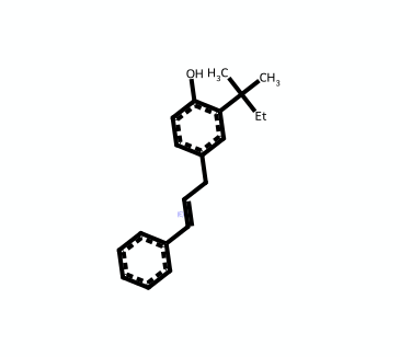 CCC(C)(C)c1cc(C/C=C/c2ccccc2)ccc1O